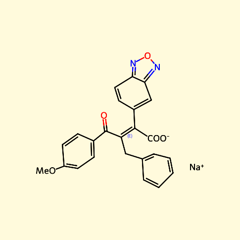 COc1ccc(C(=O)/C(Cc2ccccc2)=C(/C(=O)[O-])c2ccc3nonc3c2)cc1.[Na+]